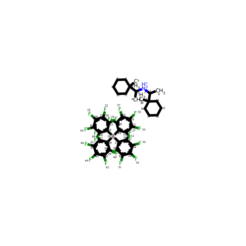 CC([NH2+]C(C)C1(C)CCCCC1)C1(C)CCCCC1.Fc1c(F)c(F)c([B-](c2c(F)c(F)c(F)c(F)c2F)(c2c(F)c(F)c(F)c(F)c2F)c2c(F)c(F)c(F)c(F)c2F)c(F)c1F